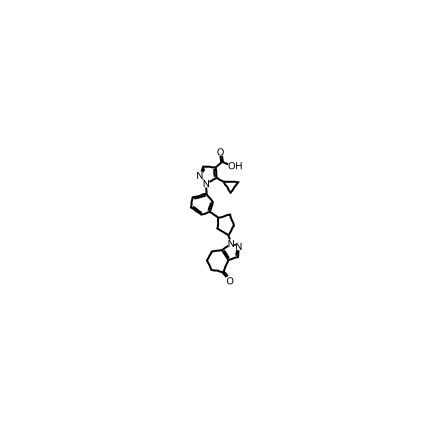 O=C(O)c1cnn(-c2cccc(C3CCC(n4ncc5c4CCCC5=O)C3)c2)c1C1CC1